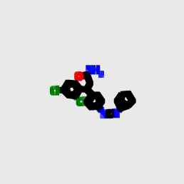 NC(=O)CC(c1ccc(N=C=NC2CC3CCC2C3)cc1)c1ccc(Cl)cc1Cl